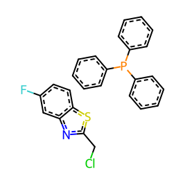 Fc1ccc2sc(CCl)nc2c1.c1ccc(P(c2ccccc2)c2ccccc2)cc1